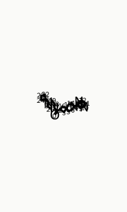 O=C(C1CC2(CCN(c3cnccn3)CC2)C1)N1CCN(C2CCC2)CC1